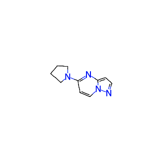 c1cc2nc(N3CCCC3)ccn2n1